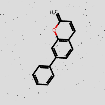 C=C1C=Cc2ccc(-c3ccccc3)cc2O1